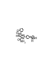 COc1ccccc1-n1c(=O)[nH]c2c(C(N)=O)nc(-c3ccc(N4C=CNN4)cc3)nc21